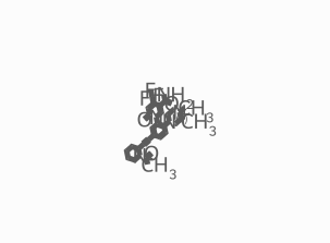 CC(=O)N1CCCCC1C#Cc1ccc(N2CCN(C)[C@@H](C)C2)c(-n2cc(C(N)=O)c(C(F)(F)F)cc2=O)c1